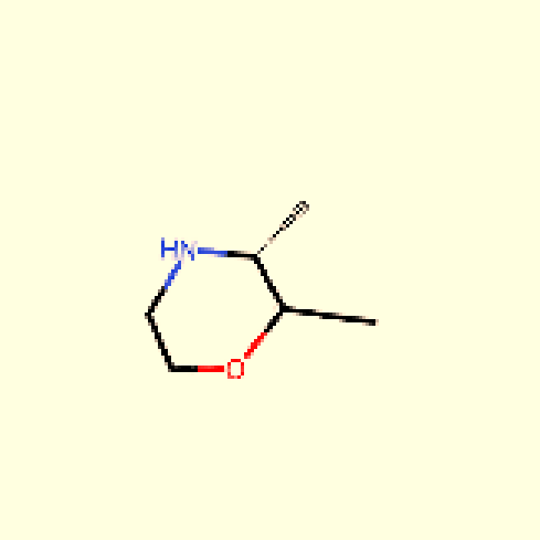 C[C]1OCCN[C@@H]1C